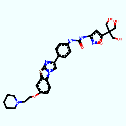 O=C(Nc1ccc(-c2cn3c(n2)sc2cc(OCCN4CCCCC4)ccc23)cc1)Nc1cc(C(CO)(CO)CO)on1